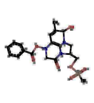 CC1=CC2=C3N(CC(COS(C)(=O)=O)N3C(=O)CN2OC(=O)c2ccccc2)C1O